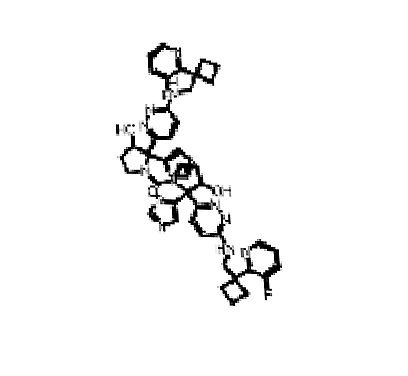 O=C(N1CCC(O)C1(c1ccc(NCC2(c3ncccc3F)CCC2)nn1)c1cncs1)N1CCC(O)C1(c1ccc(NCC2(c3ncccc3F)CCC2)nn1)c1cncs1